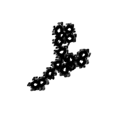 c1ccc(C2(c3ccccc3)c3ccccc3-c3ccc(-c4ccc(N(c5ccc(-c6ccc(-c7ccc8ccccc8c7)cc6)cc5)c5ccc(-c6cccc7ccccc67)c6oc7ccccc7c56)cc4)cc32)cc1